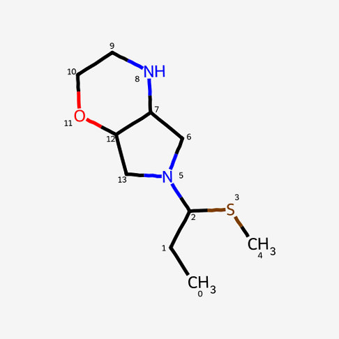 CCC(SC)N1CC2NCCOC2C1